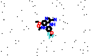 CCOc1cc2ncc(C#N)c(Nc3cccc(OC(F)(F)F)c3)c2cc1NC(C)=O